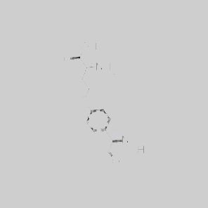 NC(CCOc1ccc(/C([C]=O)=N/O)cc1)C(=O)O